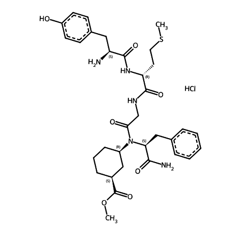 COC(=O)[C@H]1CCC[C@@H](N(C(=O)CNC(=O)[C@@H](CCSC)NC(=O)[C@@H](N)Cc2ccc(O)cc2)[C@@H](Cc2ccccc2)C(N)=O)C1.Cl